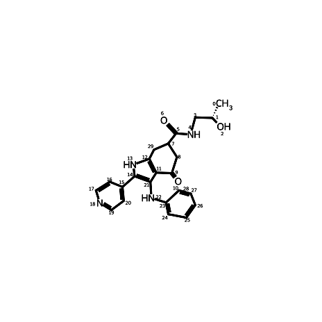 C[C@H](O)CNC(=O)C1CC(=O)c2c([nH]c(-c3ccncc3)c2Nc2ccccc2)C1